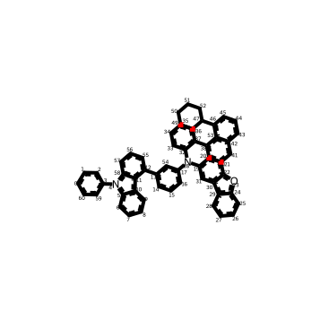 c1ccc(-n2c3ccccc3c3c(-c4cccc(N(c5ccc6oc7ccccc7c6c5)c5ccccc5-c5cccc6cccc(C7CCCCC7)c56)c4)cccc32)cc1